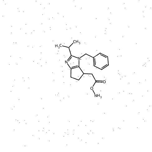 CC(C)c1nc2c(n1Cc1ccccc1)C(CC(=O)ON)CC2